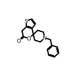 O=C1Cc2sccc2C2(CCN(Cc3ccccc3)CC2)O1